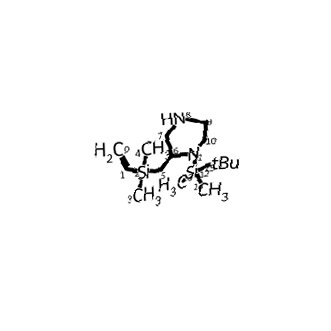 C=C[Si](C)(C)CC1CNCCN1[Si](C)(C)C(C)(C)C